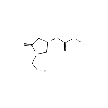 CCOC(=O)CN1C[C@H](NC(=O)OC(C)(C)C)CC1=O